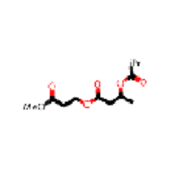 COC(=O)CCOC(=O)CC(C)OC(=O)C(C)C